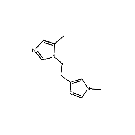 Cc1cncn1CCc1cn(C)cn1